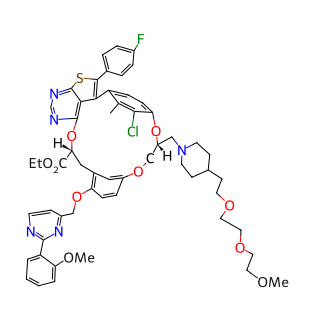 CCOC(=O)[C@H]1Cc2cc(ccc2OCc2ccnc(-c3ccccc3OC)n2)OC[C@@H](CN2CCC(CCOCCOCCOC)CC2)Oc2ccc(c(C)c2Cl)-c2c(-c3ccc(F)cc3)sc3ncnc(c23)O1